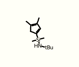 CC1=C(C)CC([Si](C)(C)NC(C)(C)C)=C1